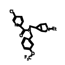 CCN1CC2C(C1)C2CN(Cc1cccc(OC(F)(F)F)c1)C(=O)c1ccc(Cl)cn1